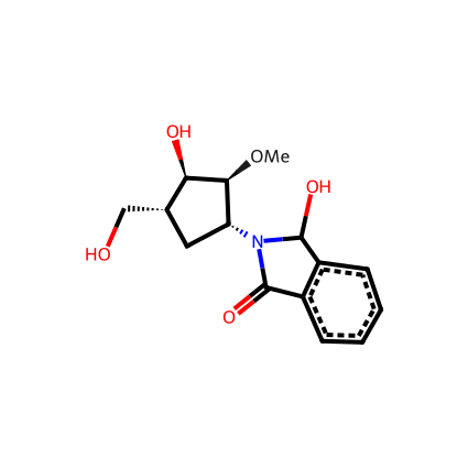 CO[C@@H]1[C@H](O)[C@@H](CO)C[C@H]1N1C(=O)c2ccccc2C1O